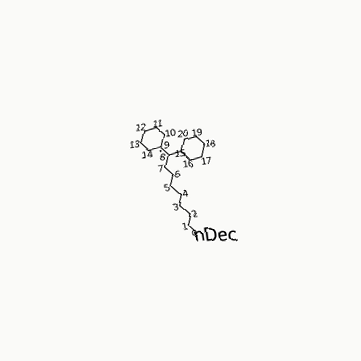 CCCCCCCCCCCCCCCCCC([C]1CCCCC1)C1CCCCC1